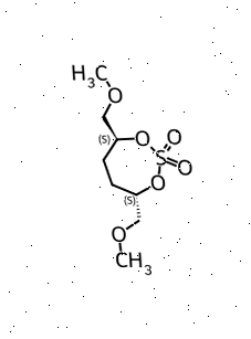 COC[C@@H]1CC[C@@H](COC)OS(=O)(=O)O1